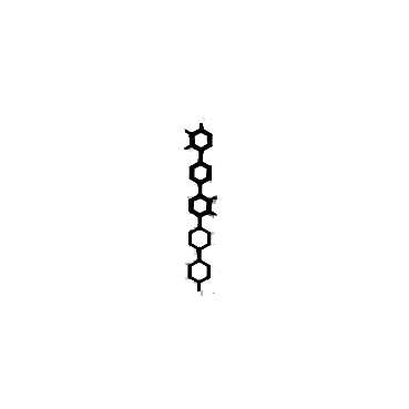 CCCCCCCc1ccc(-c2ccc(-c3ccc(C4CCC(C5CCC(CCCCC)CC5)CC4)c(F)c3F)cc2)c(F)c1F